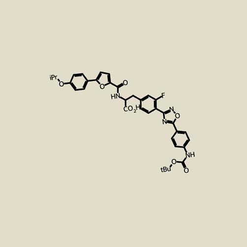 CC(C)Oc1ccc(-c2ccc(C(=O)NC(Cc3ccc(-c4noc(-c5ccc(NC(=O)OC(C)(C)C)cc5)n4)c(F)c3)C(=O)O)o2)cc1